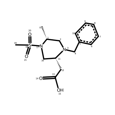 C[C@@H]1CN(Cc2ccccc2)[C@H](CC(=O)O)CN1S(C)(=O)=O